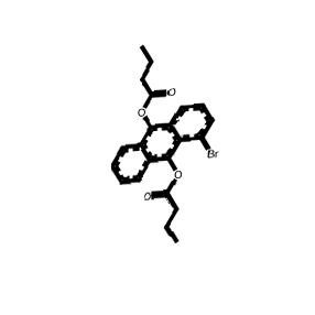 CCCC(=O)Oc1c2ccccc2c(OC(=O)CCC)c2c(Br)cccc12